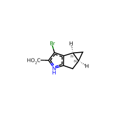 O=C(O)c1[nH]c2c(c1Br)[C@H]1C[C@H]1C2